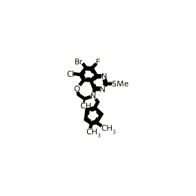 CSc1nc2c3c(c(Cl)c(Br)c(F)c3n1)OC[C@H](C)N2Cc1ccc(C)c(C)c1